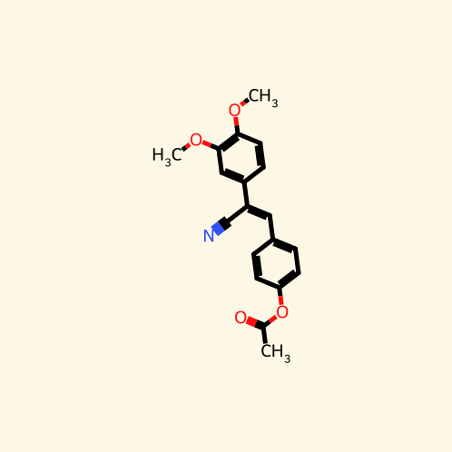 COc1ccc(/C(C#N)=C/c2ccc(OC(C)=O)cc2)cc1OC